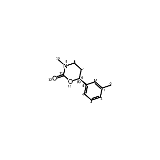 Cc1cccc([C@@H]2CCN(C)C(=O)O2)c1